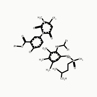 CC(C)OC(=O)c1cc(-n2c(=O)cc(C(F)(F)F)n(C)c2=O)ccc1Cl.CCC(CC)Nc1c([N+](=O)[O-])cc(C)c(C)c1[N+](=O)[O-].CP(=O)(O)CCC(N)C(=O)O